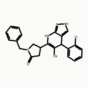 N#CC1=C(C2CC(=O)N(Cc3ccccc3)C2)Nc2n[nH]cc2C1c1ccccc1Cl